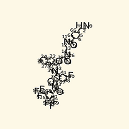 CNCCc1ccc(C(=O)N(C)CCCN(C)C(=O)CO[C@H]2Cc3ccccc3C23CCN(CC[C@]2(c4ccc(F)cc4)CN(C(=O)c4cc(C(F)(F)F)cc(C(F)(F)F)c4)CO2)CC3)cc1